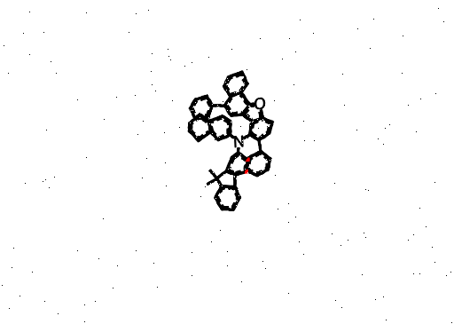 CC1(C)c2ccccc2-c2ccc(N(c3ccc4ccccc4c3)c3c(-c4ccccc4)ccc4oc5c6ccccc6c(-c6ccccc6)cc5c34)cc21